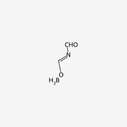 BOC=NC=O